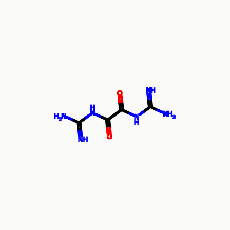 N=C(N)NC(=O)C(=O)NC(=N)N